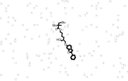 CC(C)(C)CC(C)(C(=O)OCCCCC(CO)COc1ccc2cc(-c3ccccc3)oc2c1)C(C)(C)C